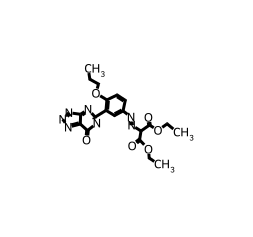 CCCOc1ccc(N=NC(C(=O)OCC)C(=O)OCC)cc1C1=NC(=O)C2=NN=NC2=N1